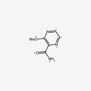 COc1[c]ccnc1C(N)=O